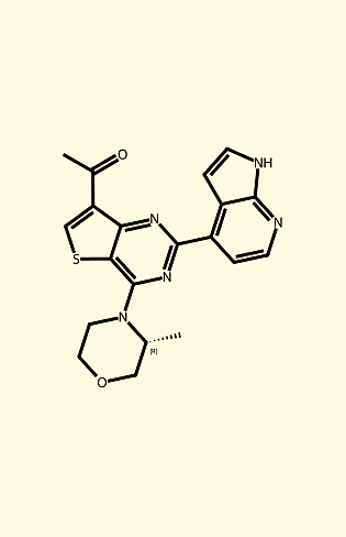 CC(=O)c1csc2c(N3CCOC[C@H]3C)nc(-c3ccnc4[nH]ccc34)nc12